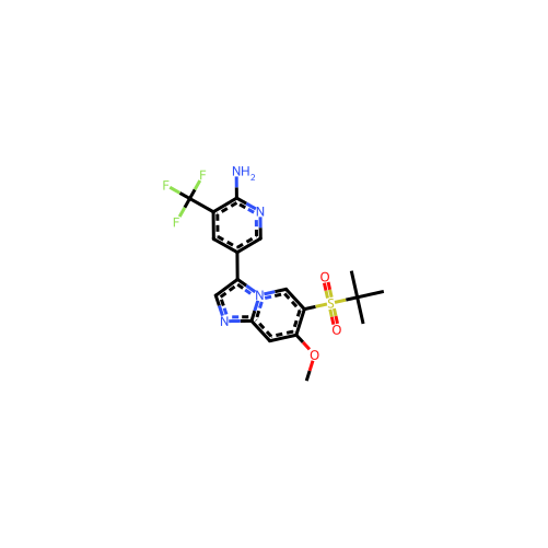 COc1cc2ncc(-c3cnc(N)c(C(F)(F)F)c3)n2cc1S(=O)(=O)C(C)(C)C